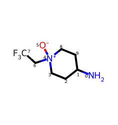 NC1CC[N+]([O-])(CC(F)(F)F)CC1